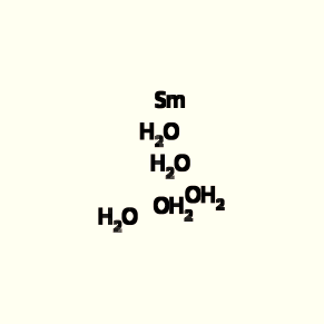 O.O.O.O.O.[Sm]